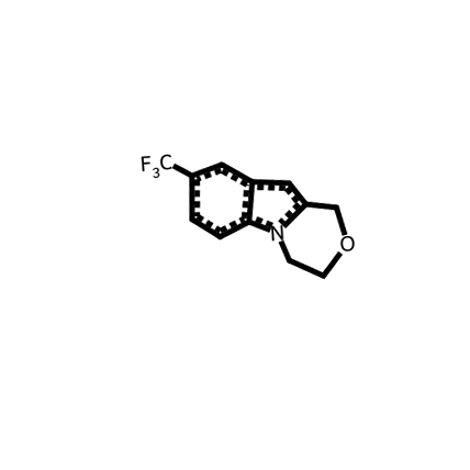 FC(F)(F)c1ccc2c(c1)cc1n2CCOC1